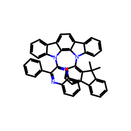 CC1(C)c2ccccc2-c2cccc(-n3c4ccccc4c4ccc5c6ccccc6n(-c6nc7ccccc7nc6-c6ccccc6)c5c43)c21